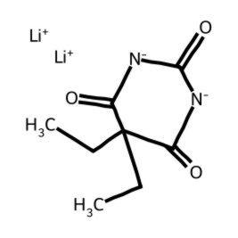 CCC1(CC)C(=O)[N-]C(=O)[N-]C1=O.[Li+].[Li+]